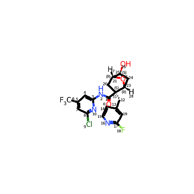 O=C(Nc1cc(C(F)(F)F)cc(Cl)n1)[C@@]1(Cc2ccnc(F)c2)C[C@H]2O[C@@H]1C[C@@H]2O